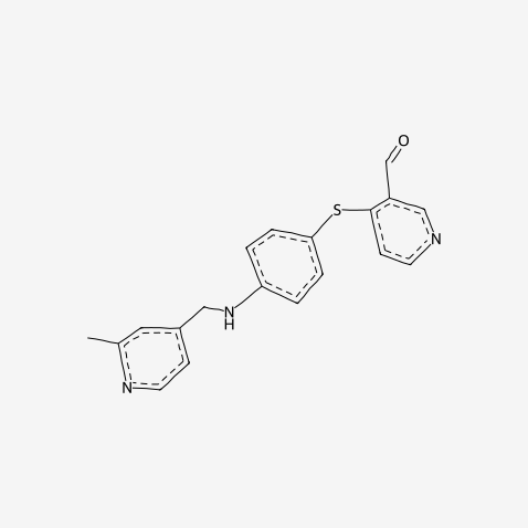 Cc1cc(CNc2ccc(Sc3ccncc3C=O)cc2)ccn1